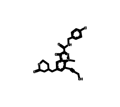 Cn1nc(C(=O)NCc2ccc(Cl)cc2)c(=O)c2cc(CC3CCOC(=O)C3)cc(C#CCO)c21